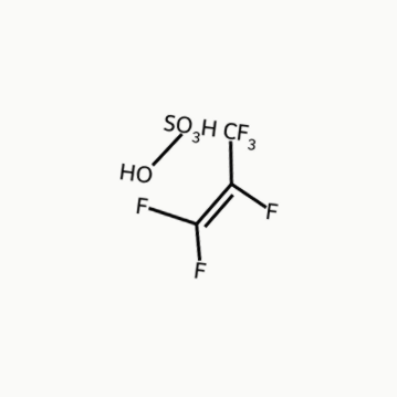 FC(F)=C(F)C(F)(F)F.O=S(=O)(O)O